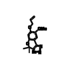 C=CCOc1cc2c(cc1OC)-c1nn[se]c1C(C)(C)O2